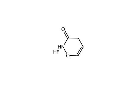 F.O=C1CC=CON1